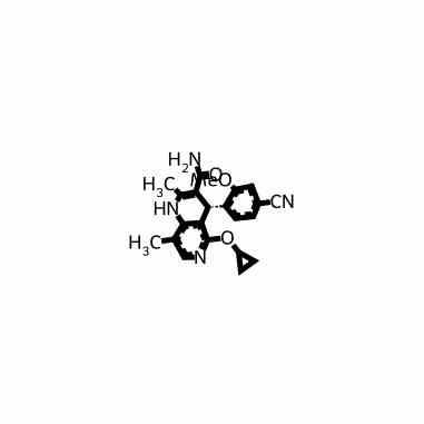 COc1cc(C#N)ccc1[C@H]1C(C(N)=O)=C(C)Nc2c(C)cnc(OC3CC3)c21